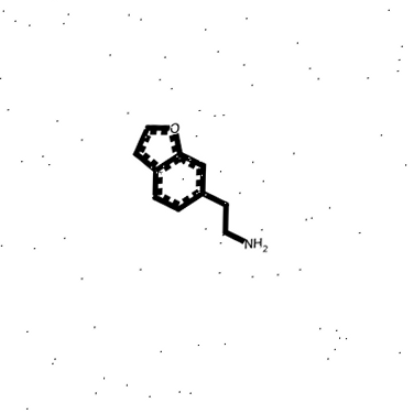 NCCc1ccc2ccoc2c1